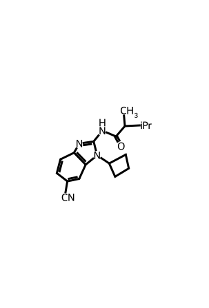 CC(C)C(C)C(=O)Nc1nc2ccc(C#N)cc2n1C1CCC1